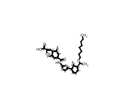 CCCCCCCCOC(C)c1cccc(-c2csc(NC(=O)c3cc(F)c(C=C(C)C(=O)O)c(F)c3)n2)c1F